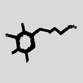 CCCOCc1cc(F)c(F)c(F)c1F